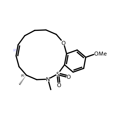 COc1ccc2c(c1)OCCCC/C=C\C[C@@H](C)CN(C)S2(=O)=O